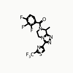 CC1c2nnc(-c3csc(C(F)(F)F)n3)n2CCN1C(=O)c1ccc(F)c(F)c1F